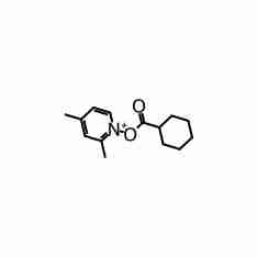 Cc1cc[n+](OC(=O)C2CCCCC2)c(C)c1